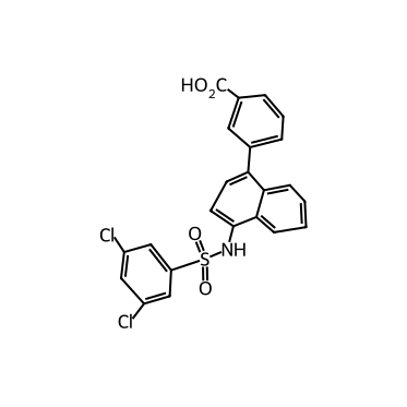 O=C(O)c1cccc(-c2ccc(NS(=O)(=O)c3cc(Cl)cc(Cl)c3)c3ccccc23)c1